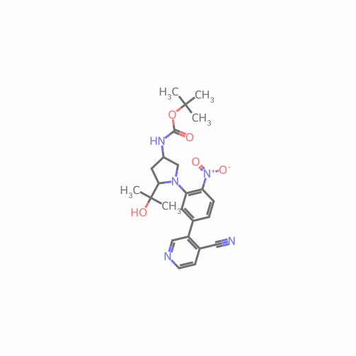 CC(C)(C)OC(=O)NC1CC(C(C)(C)O)N(c2cc(-c3cnccc3C#N)ccc2[N+](=O)[O-])C1